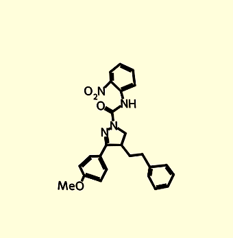 COc1ccc(C2=NN(C(=O)Nc3ccccc3[N+](=O)[O-])CC2CCc2ccccc2)cc1